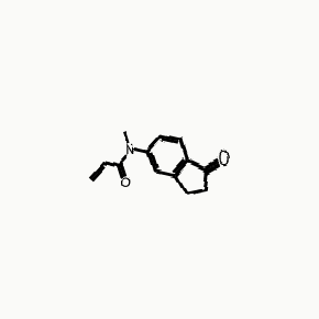 C=CC(=O)N(C)c1ccc2c(c1)CCC2=O